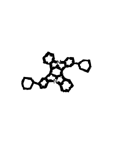 c1ccc2c(c1)c1c3c4cc(C5CCCCC5)ccc4n4c5ccccc5c(c5c6cc(C7CCCCC7)ccc6n2c15)c34